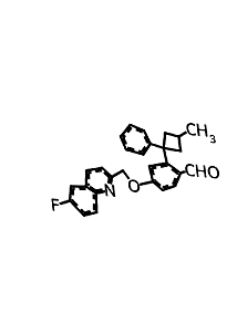 CC1CC(c2ccccc2)(c2cc(OCc3ccc4cc(F)ccc4n3)ccc2C=O)C1